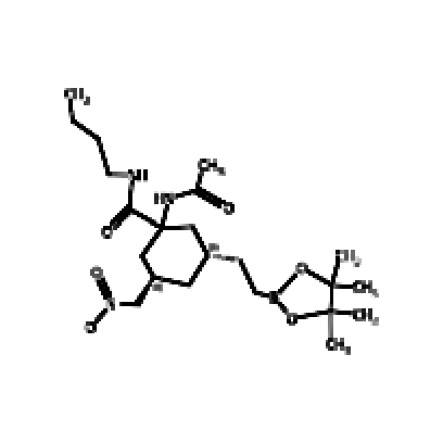 CCCCNC(=O)C1(NC(C)=O)C[C@H](CCB2OC(C)(C)C(C)(C)O2)C[C@@H](C[N+](=O)[O-])C1